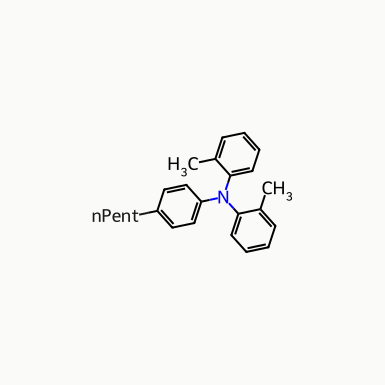 CCCCCc1ccc(N(c2ccccc2C)c2ccccc2C)cc1